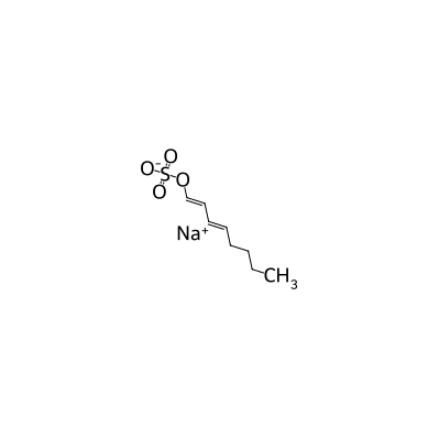 CCCCC=CC=COS(=O)(=O)[O-].[Na+]